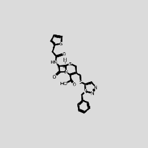 O=C(Cc1cccs1)NC1C(=O)N2C(C(=O)O)=C(CSc3cnnn3Cc3ccccc3)CS[C@H]12